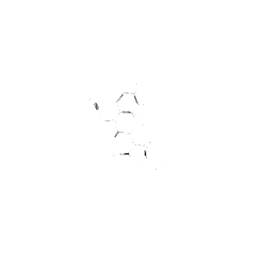 C#CCN1C(=O)C(n2nc(C(C)(C)C)sc2=O)Oc2cc(Cl)ccc21